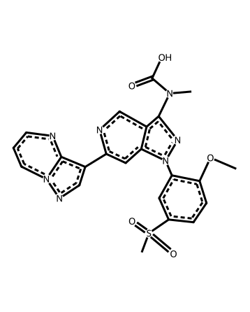 COc1ccc(S(C)(=O)=O)cc1-n1nc(N(C)C(=O)O)c2cnc(-c3cnn4cccnc34)cc21